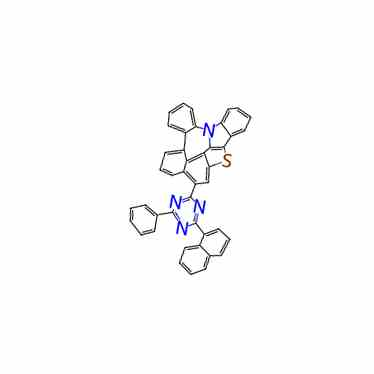 c1ccc(-c2nc(-c3cccc4ccccc34)nc(-c3cc4sc5c6ccccc6n6c7ccccc7c7cccc3c7c4c56)n2)cc1